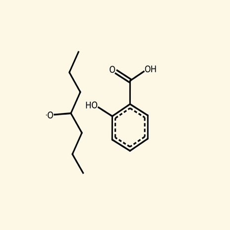 CCCC([O])CCC.O=C(O)c1ccccc1O